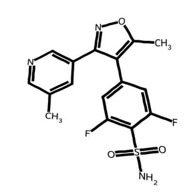 Cc1cncc(-c2noc(C)c2-c2cc(F)c(S(N)(=O)=O)c(F)c2)c1